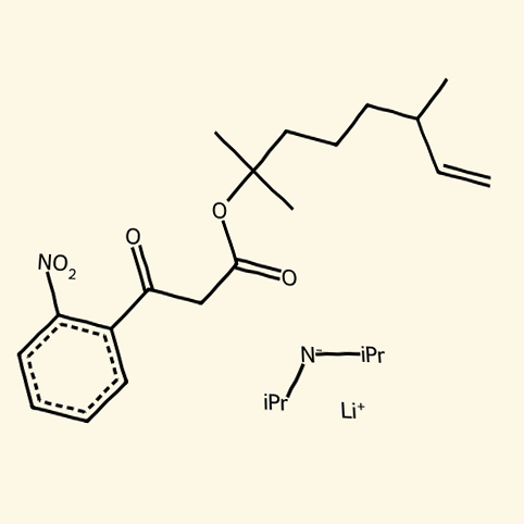 C=CC(C)CCCC(C)(C)OC(=O)CC(=O)c1ccccc1[N+](=O)[O-].CC(C)[N-]C(C)C.[Li+]